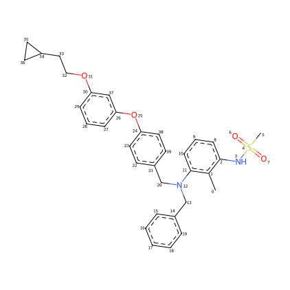 Cc1c(NS(C)(=O)=O)cccc1N(Cc1ccccc1)Cc1ccc(Oc2cccc(OCCC3CC3)c2)cc1